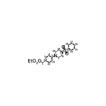 CCOC(=O)Cc1ccc(N2CCN(S(=O)(=O)c3ccccc3)CC2)cc1